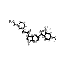 Cn1nc(-c2cnc3[nH]cc(C(=O)N[C@@H]4CCCN(CC(F)(F)F)C4)c3n2)c2ccc(CI)cc21